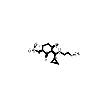 COCCN/C(=C1\C(=N)CC/C(=C\N(C)C)C1=O)C1CC1